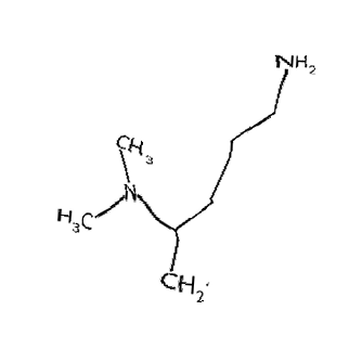 [CH2]C(CCCN)N(C)C